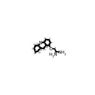 NC(N)COc1cccc2nc3ccccc3cc12